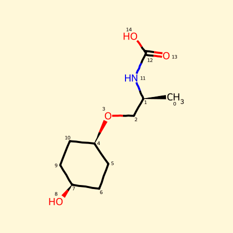 C[C@@H](CO[C@H]1CC[C@@H](O)CC1)NC(=O)O